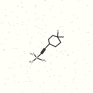 CS(C)(C)C#CC1CCC(F)(F)CC1